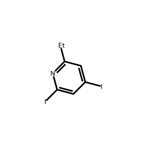 CCc1cc(I)cc(I)n1